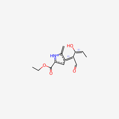 C=c1[nH]c(C(=O)OCC)c/c1=C(C=O)/C(O)=C\C